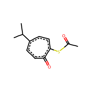 CC(=O)Sc1ccc(C(C)C)ccc1=O